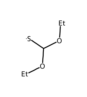 CCOC([S])OCC